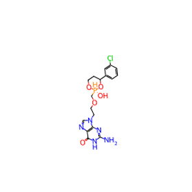 Nc1nc2c(ncn2CCOC[PH]2(O)OCCC(c3cccc(Cl)c3)O2)c(=O)[nH]1